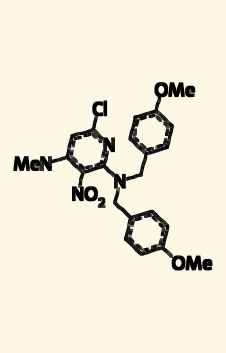 CNc1cc(Cl)nc(N(Cc2ccc(OC)cc2)Cc2ccc(OC)cc2)c1[N+](=O)[O-]